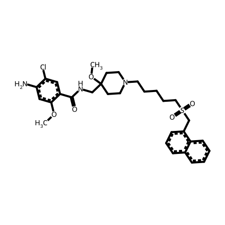 COc1cc(N)c(Cl)cc1C(=O)NCC1(OC)CCN(CCCCCS(=O)(=O)Cc2cccc3ccccc23)CC1